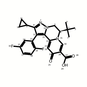 CC(C)(C)[C@@H]1Cn2nc(C3CC3)c(-c3cc(F)ccc3F)c2-c2cc(=O)c(C(=O)O)cn21